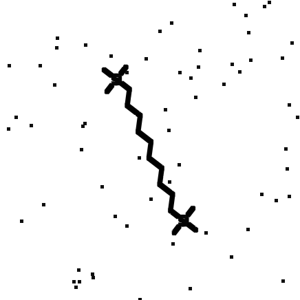 C[Si](C)(C)CCCCCCCCCC[Si](C)(C)C